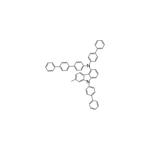 Cc1ccc2c3c(N(c4ccc(-c5ccccc5)cc4)c4ccc(-c5ccc(-c6ccccc6)cc5)cc4)cccc3n(-c3ccc(-c4ccccc4)cc3)c2c1